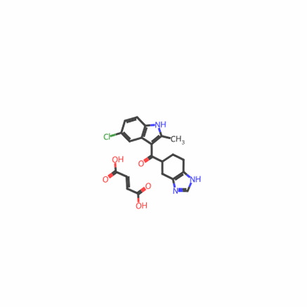 Cc1[nH]c2ccc(Cl)cc2c1C(=O)C1CCc2[nH]cnc2C1.O=C(O)/C=C/C(=O)O